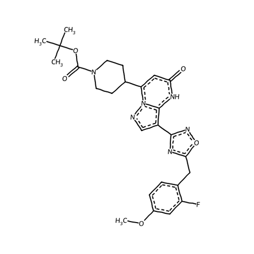 COc1ccc(Cc2nc(-c3cnn4c(C5CCN(C(=O)OC(C)(C)C)CC5)cc(=O)[nH]c34)no2)c(F)c1